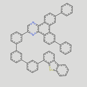 c1ccc(-c2ccc3c(c2)c2cc(-c4ccccc4)ccc2c2nc(-c4cccc(-c5cccc(-c6cccc(-c7cccc8c7sc7ccccc78)c6)c5)c4)cnc32)cc1